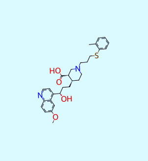 COc1ccc2nccc([C@H](O)CC[C@@H]3CCN(CCCSc4ccccc4C)C[C@@H]3C(=O)O)c2c1